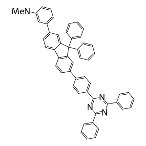 CNc1cccc(-c2ccc3c(c2)C(c2ccccc2)(c2ccccc2)c2cc(-c4ccc(-c5nc(-c6ccccc6)nc(-c6ccccc6)n5)cc4)ccc2-3)c1